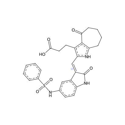 O=C(O)CCc1c(/C=C2\C(=O)Nc3ccc(NS(=O)(=O)c4ccccc4)cc32)[nH]c2c1C(=O)CCCC2